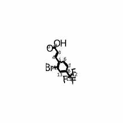 O=C(O)/C=C/c1ccc(C(F)(F)F)cc1Br